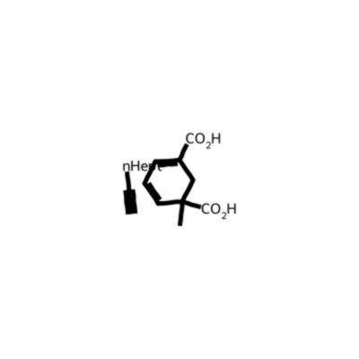 C#CCCCCCCC.CC1(C(=O)O)C=CC=C(C(=O)O)C1